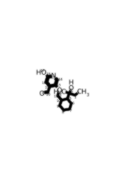 CCC(C)(O)C1CCCCC1COc1cnc(O)cc1C=O